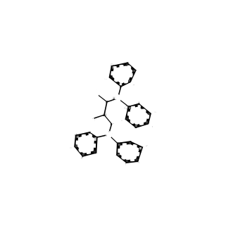 CCCC(C(O)CP(c1ccccc1)c1ccccc1)P(c1ccccc1)c1ccccc1